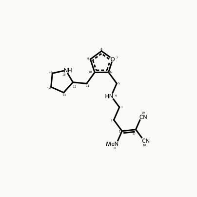 CNC(CCNCc1occc1CC1CCCN1)=C(C#N)C#N